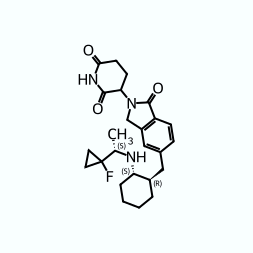 C[C@H](N[C@H]1CCCC[C@@H]1Cc1ccc2c(c1)CN(C1CCC(=O)NC1=O)C2=O)C1(F)CC1